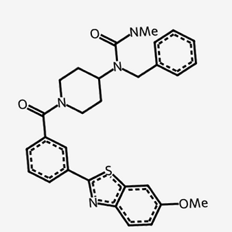 CNC(=O)N(Cc1ccccc1)C1CCN(C(=O)c2cccc(-c3nc4ccc(OC)cc4s3)c2)CC1